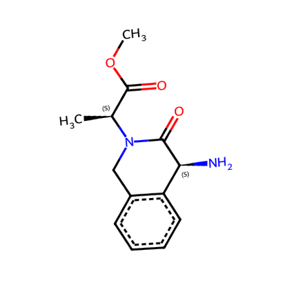 COC(=O)[C@H](C)N1Cc2ccccc2[C@H](N)C1=O